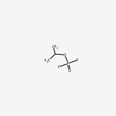 O=P(F)(F)OC(C(F)(F)F)C(F)(F)F